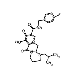 CC(C)CN1CCCN2C(=O)c3c(O)c(=O)c(C(=O)NCc4ccc(F)cc4)cn3CC12